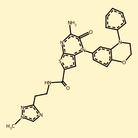 Cn1cnc(CCNC(=O)c2cc3c(nc(N)c(=O)n3-c3ccc4c(c3)N(c3ccccc3)CCO4)s2)n1